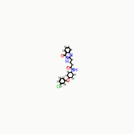 O=C(CCCc1nc2ccccc2c(=O)[nH]1)NC1CCC(Oc2cccc(Cl)c2)CC1